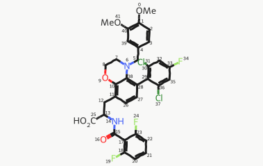 COc1ccc(CN2CCOc3c(CC(NC(=O)c4c(F)cccc4F)C(=O)O)ccc(-c4c(Cl)cc(F)cc4Cl)c32)cc1OC